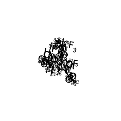 CC(C)(C#Cc1nc([C@H](Cc2cc(F)cc(F)c2)NC(=O)Cn2nc(C(F)(F)F)c3c2C(F)(F)C2C[C@H]32)c(-c2ccc(Cl)c3c(NS(C)(=O)=O)nn(CC(F)F)c23)cc1I)S(=O)(=O)C1CC1